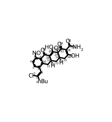 CCCC/C(Cl)=C/c1ccc(N=O)c2c1C[C@H]1C[C@H]3CC(O)=C(C(N)=O)C(=O)[C@@]3(O)C(O)=C1C2=O